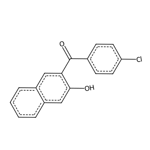 O=C(c1ccc(Cl)cc1)c1cc2ccccc2cc1O